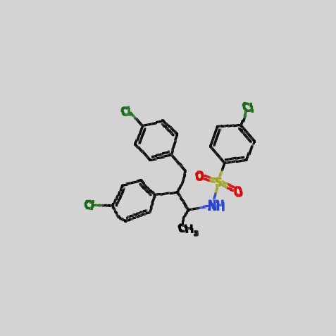 CC(NS(=O)(=O)c1ccc(Cl)cc1)C(Cc1ccc(Cl)cc1)c1ccc(Cl)cc1